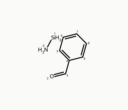 N[SiH3].O=Cc1ccccc1